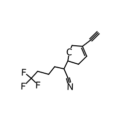 C#CC1=CCC(C(C#N)CCCC(F)(F)F)CC1